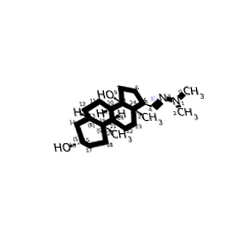 CN(C)/N=C/[C@H]1CC[C@]2(O)[C@@H]3CC[C@@H]4C[C@@H](O)CC[C@]4(C)[C@H]3CC[C@]12C